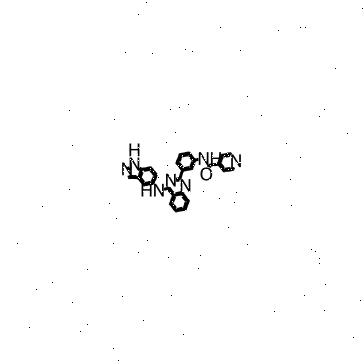 O=C(Nc1cccc(-c2nc(Nc3ccc4[nH]ncc4c3)c3ccccc3n2)c1)c1ccncc1